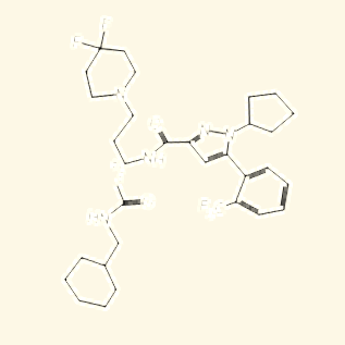 O=C(C[C@H](CCN1CCC(F)(F)CC1)NC(=O)c1cc(-c2ccccc2C(F)(F)F)n(C2CCCC2)n1)NCC1CCCCC1